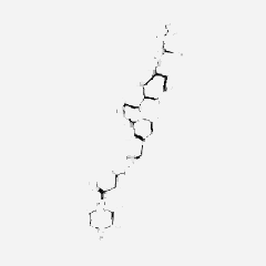 CN1CCN(C(=O)CCON=Cc2ccn3c(-c4cccc(NC(=O)NCC(F)(F)F)c4)cnc3c2)CC1